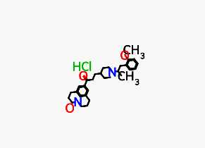 COc1ccccc1CC(C)N1CCC(CCC(=O)c2cc3c4c(c2)CCC(=O)N4CCC3)CC1.Cl